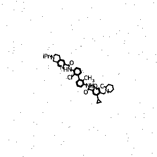 Cc1c(NC(=O)c2cc(C3CC3)c(CN3CCCCC3C(=O)O)cn2)cccc1-c1cccc(NC(=O)c2cc3c(cn2)CN(C(C)C)CC3)c1Cl